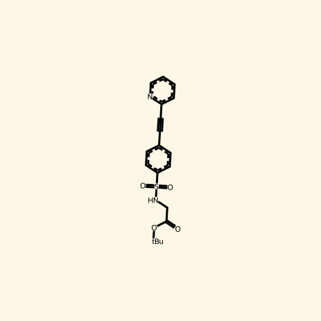 CC(C)(C)OC(=O)CNS(=O)(=O)c1ccc(C#Cc2ccccn2)cc1